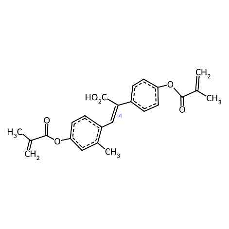 C=C(C)C(=O)Oc1ccc(/C(=C/c2ccc(OC(=O)C(=C)C)cc2C)C(=O)O)cc1